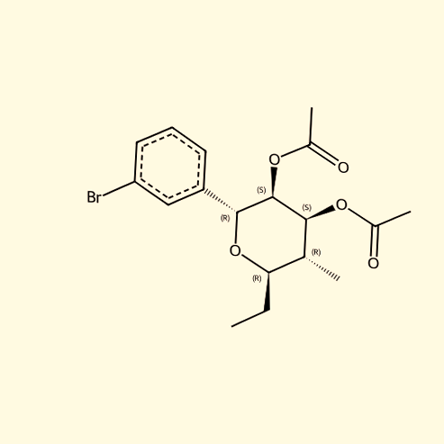 CC[C@H]1O[C@H](c2cccc(Br)c2)[C@@H](OC(C)=O)[C@@H](OC(C)=O)[C@@H]1C